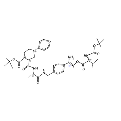 CC(C)[C@H](NC(=O)OC(C)(C)C)C(=O)O/N=C(\N)c1ccc(CNC(=O)[C@H](C)NC(=O)[C@H]2C[C@@H](c3ccccc3)CCN2C(=O)OC(C)(C)C)cc1